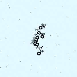 Cc1nc(Nc2ccccc2)nc(Nc2ccc(C=Cc3ccc(Nc4nc(Nc5ccccc5)nc(Nc5ccc(S(=O)(=O)O)cc5)n4)cc3S(=O)(=O)O)c(S(=O)(=O)O)c2)n1